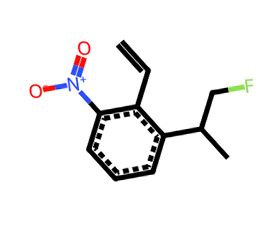 C=Cc1c([C](C)CF)cccc1[N+](=O)[O-]